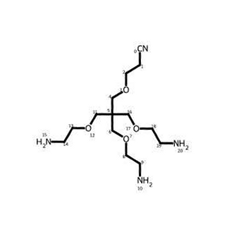 N#CCCOCC(COCCN)(COCCN)COCCN